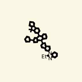 CCc1nc2ccccc2n1-c1ccc2cc(-c3c4ccccc4c(-c4ccc5c(c4)C(C)(C)c4ccccc4-5)c4cc(-c5ccccc5)ccc34)ccc2c1